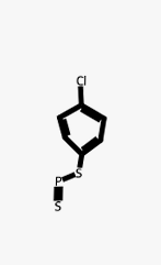 S=PSc1ccc(Cl)cc1